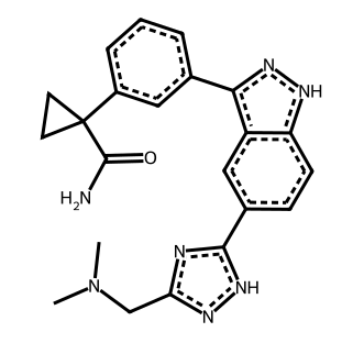 CN(C)Cc1n[nH]c(-c2ccc3[nH]nc(-c4cccc(C5(C(N)=O)CC5)c4)c3c2)n1